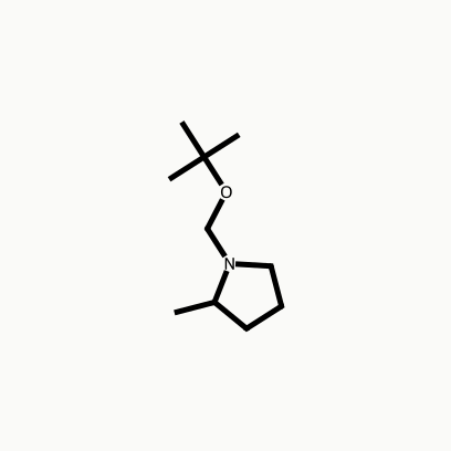 CC1CCCN1COC(C)(C)C